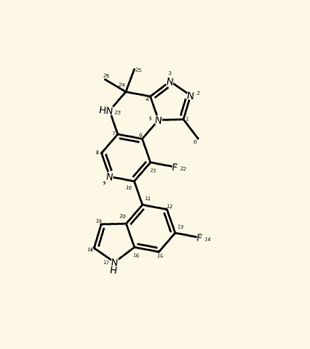 Cc1nnc2n1-c1c(cnc(-c3cc(F)cc4[nH]ccc34)c1F)NC2(C)C